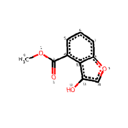 COC(=O)c1cccc2occ(O)c12